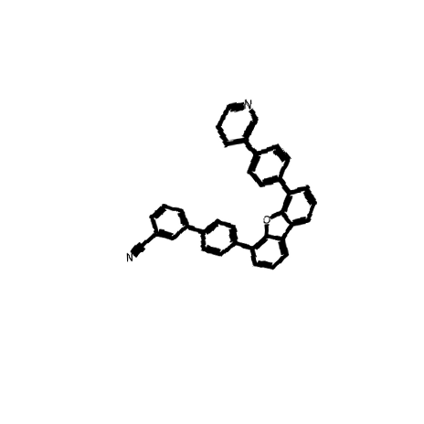 N#Cc1cccc(-c2ccc(-c3cccc4c3oc3c(-c5ccc(C6=CN=CCC6)cc5)cccc34)cc2)c1